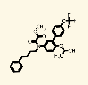 COC(=O)C(=O)N(CCCCc1ccccc1)c1ccc(OC(C)C)c(-c2ccc(OC(F)(F)F)cc2)c1